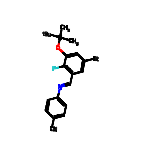 CCc1cc(/C=N/c2ccc(C#N)cc2)c(F)c(O[Si](C)(C)C(C)(C)C)c1